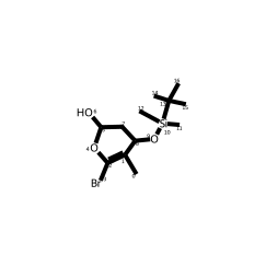 CC1=C(Br)OC(O)CC1O[Si](C)(C)C(C)(C)C